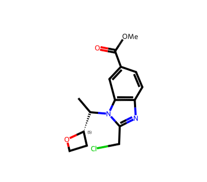 COC(=O)c1ccc2nc(CCl)n(C(C)[C@@H]3CCO3)c2c1